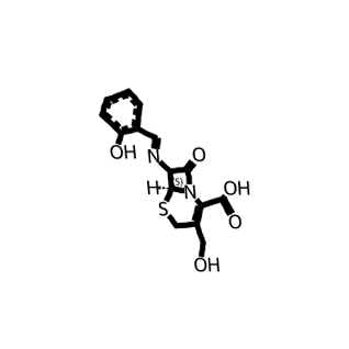 O=C(O)C1=C(CO)CS[C@H]2C(N=Cc3ccccc3O)C(=O)N12